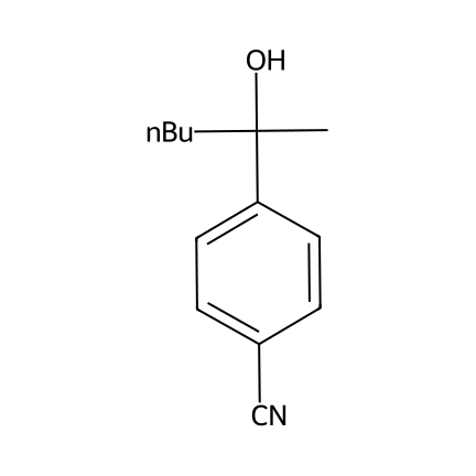 CCCCC(C)(O)c1ccc(C#N)cc1